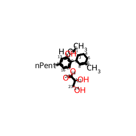 C=C(C)[C@@H]1CCC(C)=C[C@H]1c1c(O)cc(CCCCC)cc1OC(=O)[C@@H](O)CO